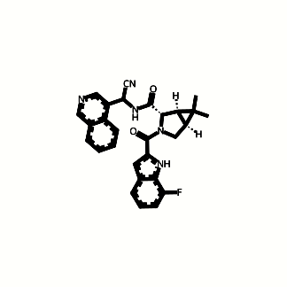 CC1(C)[C@@H]2[C@@H](C(=O)NC(C#N)c3cncc4ccccc34)N(C(=O)c3cc4cccc(F)c4[nH]3)C[C@@H]21